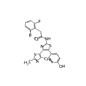 Cc1nc(C)c(-c2nc(NC(=O)Cc3c(F)cccc3F)sc2-c2ccc(O)cc2)s1